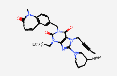 CC#CCn1c(N2CCCC(NC)C2)nc2c1c(=O)n(Cc1ccc3c(ccc(=O)n3C)c1)c(=O)n2CC(=O)OCC